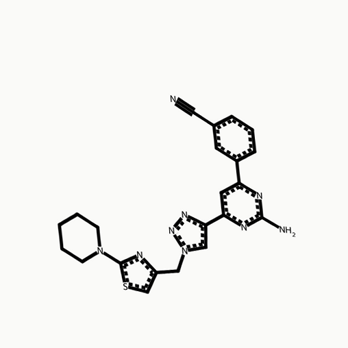 N#Cc1cccc(-c2cc(-c3cn(Cc4csc(N5CCCCC5)n4)nn3)nc(N)n2)c1